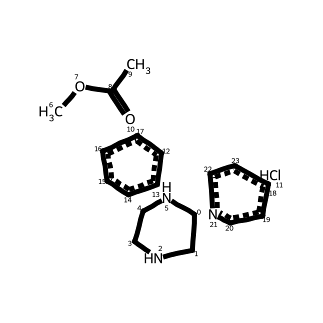 C1CNCCN1.COC(C)=O.Cl.c1ccccc1.c1ccncc1